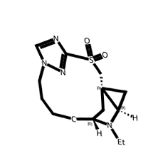 CCN1[C@@H]2CCCCn3cnc(n3)S(=O)(=O)C[C@]3(C2)C[C@@H]13